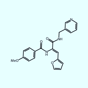 COc1ccc(C(=O)N/C(=C\c2ccco2)C(=O)NCc2cccnc2)cc1